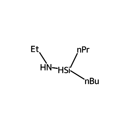 CCCC[SiH](CCC)NCC